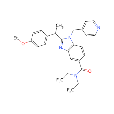 CCOc1ccc(C(C)c2nc3cc(C(=O)N(CC(F)(F)F)CC(F)(F)F)ccc3n2Cc2ccncc2)cc1